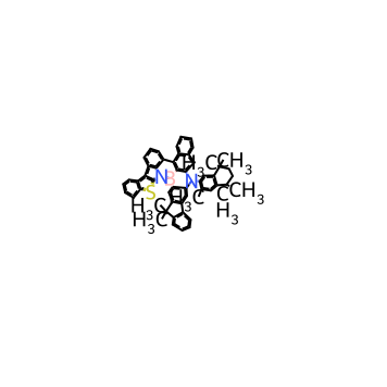 Cc1cc2c(cc1N1c3cc4c(cc3B3c5c1cc1ccccc1c5-c1cccc5c6c7ccccc7sc6n3c15)C(C)(C)c1ccccc1-4)C(C)(C)CCC2(C)C